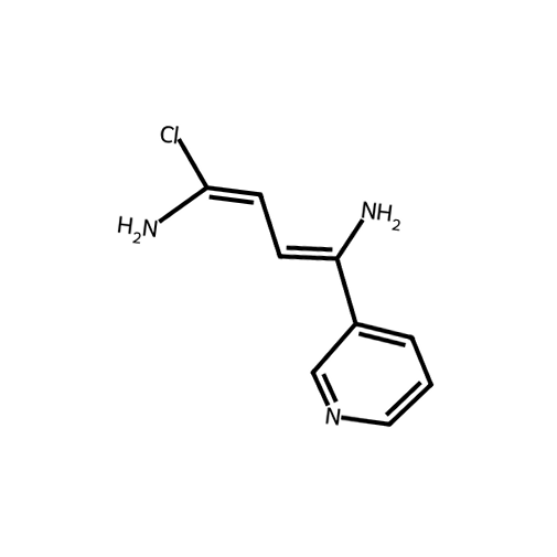 N/C(=C\C=C(/N)Cl)c1cccnc1